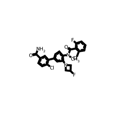 CN(C(=O)c1c(F)cccc1Cl)c1ccc(-c2cc(C(N)=O)ccc2Cl)cc1N1CC(F)C1